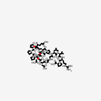 CC(C)C[C@H](NC(=O)CNC(=O)[C@H](C)NC(=O)[C@H](CC(=O)O)NC(=O)[C@H](CC(=O)O)NC(=O)[C@H](C)NC(=O)[C@@H]1CCCN1C(=O)[C@H](CCCCN)NC(=O)CNC(=O)[C@@H]1CCCN1C(=O)[C@@H]1CCCN1C(=O)[C@@H]1CCCN1C(=O)[C@@H](N)CCC(=O)O)C(=O)N[C@H](C(=O)N[C@@H](CCCNC(=N)N)C(=O)N1CCC[C@H]1C(=O)O)C(C)C